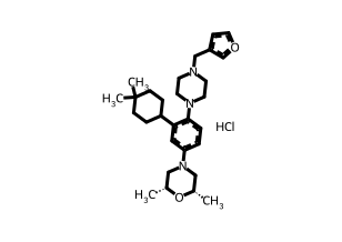 C[C@@H]1CN(c2ccc(N3CCN(Cc4ccoc4)CC3)c(C3CCC(C)(C)CC3)c2)C[C@H](C)O1.Cl